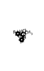 CN1CC[C@@]2(c3ccc(F)cc3)Oc3ccccc3[C@H]2C1.Cl